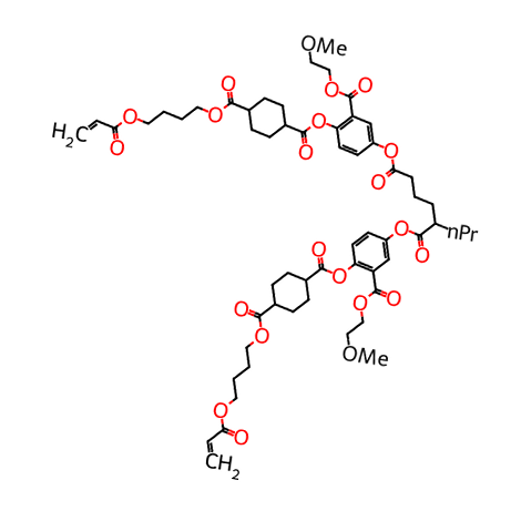 C=CC(=O)OCCCCOC(=O)C1CCC(C(=O)Oc2ccc(OC(=O)CCCC(CCC)C(=O)Oc3ccc(OC(=O)C4CCC(C(=O)OCCCCOC(=O)C=C)CC4)c(C(=O)OCCOC)c3)cc2C(=O)OCCOC)CC1